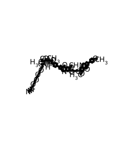 COc1ccc(C2=CN3C(=O)c4cc(OC)c(OCCCOc5cc6c(cc5OC)C(=O)N5C=C(c7ccc(NC(=O)[C@H](C)NC(=O)[C@@H](NC(=O)CCOCCOCCOCCOCCN=[N+]=[N-])C(C)C)cc7)CC5C=N6)cc4N=CC3C2)cc1